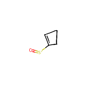 O=[S+]C1=CCC1